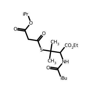 CCOC(=O)C(NC(=O)C(C)CC)C(C)(C)SC(=O)CC(=O)OC(C)C